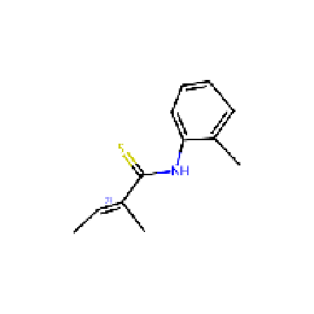 C/C=C(\C)C(=S)Nc1ccccc1C